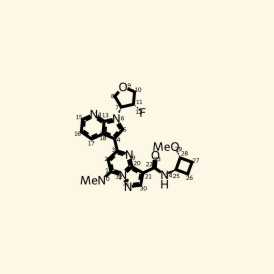 CNc1cc(-c2cn([C@@H]3COC[C@@H]3F)c3ncccc23)nc2c(C(=O)N[C@@H]3CC[C@H]3OC)cnn12